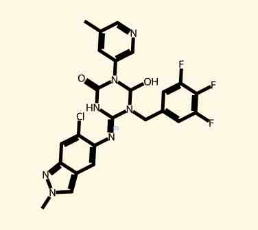 Cc1cncc(N2C(=O)N/C(=N\c3cc4cn(C)nc4cc3Cl)N(Cc3cc(F)c(F)c(F)c3)C2O)c1